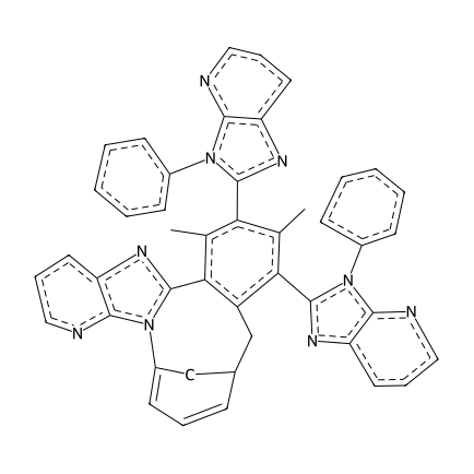 Cc1c(-c2nc3cccnc3n2-c2ccccc2)c(C)c(-c2nc3cccnc3n2-c2ccccc2)c2c1-c1nc3cccnc3n1C1=CC=CC(C1)C2